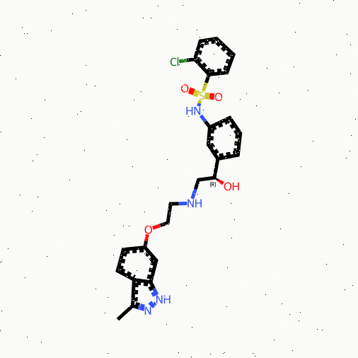 Cc1n[nH]c2cc(OCCNC[C@H](O)c3cccc(NS(=O)(=O)c4ccccc4Cl)c3)ccc12